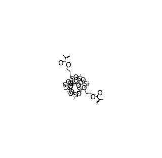 C=C(C)C(=O)OCCC[Si]12O[Si]3(C)O[Si]4(C)O[Si](C)(O[Si]5(C)O[Si](C)(O[Si](C)(O3)O[Si](CCCOC(=O)C(=C)C)(O4)O5)O1)O2